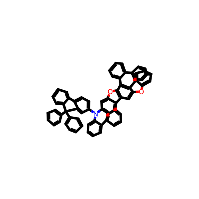 c1ccc(-c2ccccc2-c2c3oc4cc(N(c5ccc6c(c5)C(c5ccccc5)(c5ccccc5)c5ccccc5-6)c5ccccc5-c5ccccc5)ccc4c3cc3oc4ccccc4c23)cc1